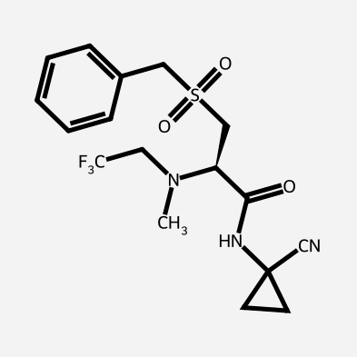 CN(CC(F)(F)F)[C@@H](CS(=O)(=O)Cc1ccccc1)C(=O)NC1(C#N)CC1